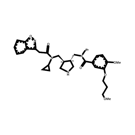 COCCCOc1cc(C(=O)N(C[C@@H]2CNC[C@H]2CN(C(=O)Cc2noc3ccccc23)C2CC2)C(C)C)ccc1OC